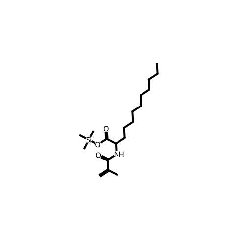 C=C(C)C(=O)NC(CCCCCCCCCC)C(=O)O[Si](C)(C)C